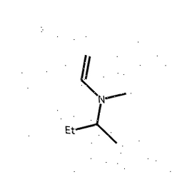 C=CN(C)C(C)CC